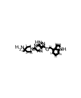 CC1(N)CCN(c2cnc3c(OCc4cccc5[nH]ccc45)n[nH]c3n2)CC1